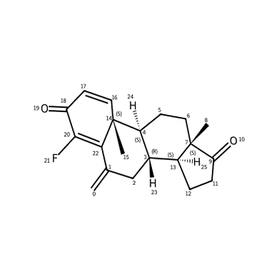 C=C1C[C@@H]2[C@H](CC[C@]3(C)C(=O)CC[C@@H]23)[C@@]2(C)C=CC(=O)C(F)=C12